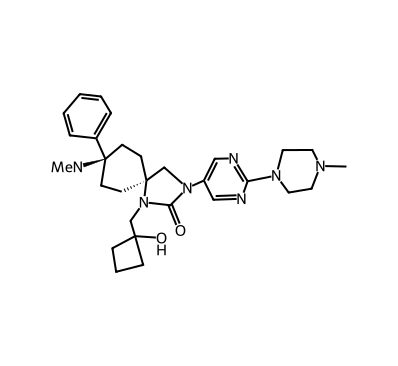 CN[C@]1(c2ccccc2)CC[C@]2(CC1)CN(c1cnc(N3CCN(C)CC3)nc1)C(=O)N2CC1(O)CCC1